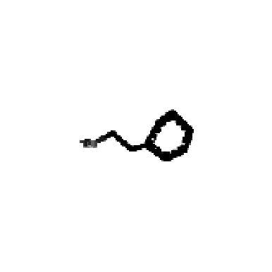 [CH2]CCCCCc1ccccc1